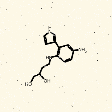 Nc1ccc(NCCC(O)CO)c(-c2cc[nH]c2)c1